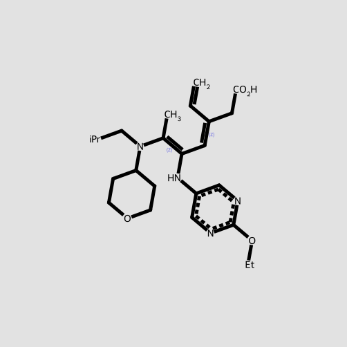 C=C/C(=C\C(Nc1cnc(OCC)nc1)=C(/C)N(CC(C)C)C1CCOCC1)CC(=O)O